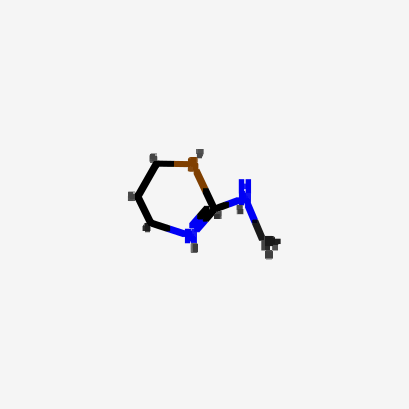 CC(C)NC1=NCCCS1